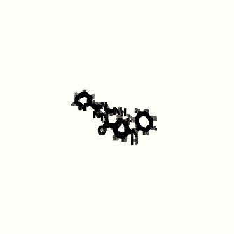 Nc1nc(-c2ccccn2)nn1C(=O)c1ccc(NC2CCCCCC2)cc1